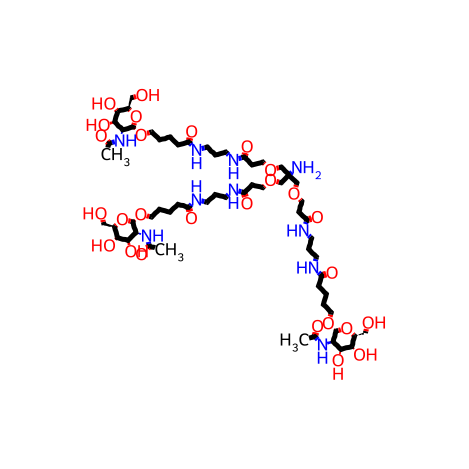 CC(=O)N[C@H]1[C@H](OCCCCC(=O)NCCCNC(=O)CCOCC(N)(COCCC(=O)NCCCNC(=O)CCCCO[C@@H]2O[C@H](CO)[C@H](O)[C@H](O)[C@H]2NC(C)=O)COCCC(=O)NCCCNC(=O)CCCCO[C@@H]2O[C@H](CO)C(O)[C@H](O)[C@H]2NC(C)=O)O[C@H](CO)[C@H](O)[C@@H]1O